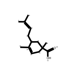 CC(C)=CCC1CC(C)(C(=O)O)CC=C1C